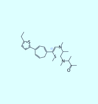 CCc1ccc(C2=CC=C(/C(=C/N(C)C(C)CN(C)C(C)C(C)=O)SC)CC=C2)s1